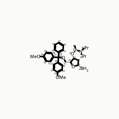 B[C@H]1C[C@@H](OP(C)N(C(C)C)C(C)C)[C@@H](COC(c2ccccc2)(c2ccc(OC)cc2)c2ccc(OC)cc2)O1